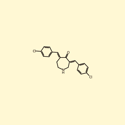 O=C1/C(=C/c2ccc(Cl)cc2)CCNC/C1=C\c1ccc(Cl)cc1